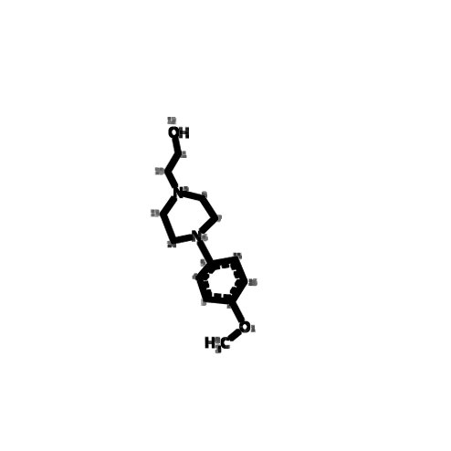 COc1ccc(N2CCN(CCO)CC2)cc1